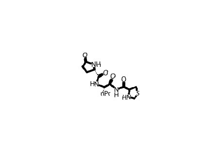 CCC[C@H](NC(=O)[C@@H]1CCC(=O)N1)C(=O)NC(=O)C1CSCN1